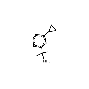 CC(C)(N)c1cccc(C2CC2)n1